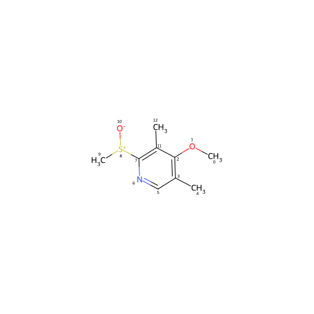 COc1c(C)cnc([S+](C)[O-])c1C